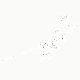 CC[C@@H](C)[C@@H](N)C(=O)NCc1nc2c(Oc3cccc4c(OCCOCCOCCOCCOCCOC)cccc34)c(C(=O)C(C(C)C)C(O)C(O)C(N)C(C(=O)[C@@H](NC(C)=O)[C@@H](C)OP(=O)(O)O)C3CCCCC3)ccc2[nH]1